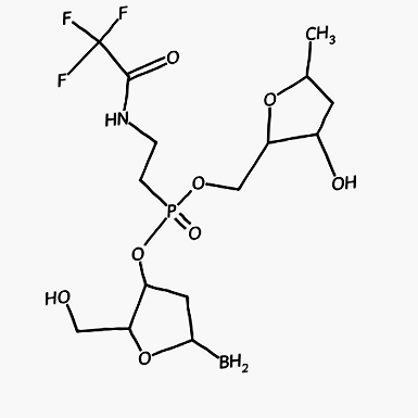 BC1CC(OP(=O)(CCNC(=O)C(F)(F)F)OCC2OC(C)CC2O)C(CO)O1